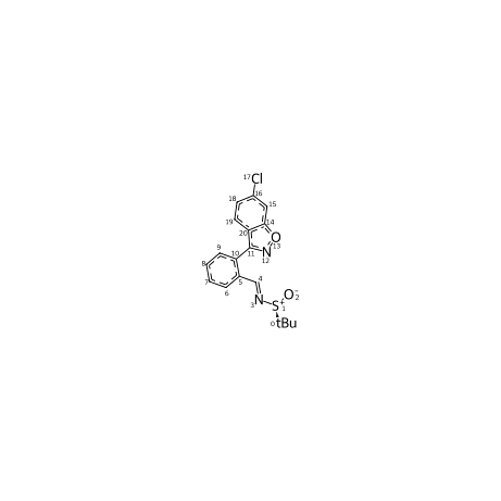 CC(C)(C)[S@+]([O-])N=Cc1ccccc1-c1noc2cc(Cl)ccc12